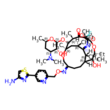 CCC(=O)/N=C1\[C@H](C)C[C@@]2(C)OCC(=NOCc3ccc(-c4nc(N)cs4)cn3)CC[C@H]([C@H]1C)[C@](C)(O)[C@@H](CC)OC(=O)[C@@](C)(F)C(=O)[C@H](C)[C@H]2O[C@@H]1O[C@H](C)C[C@H](N(C)C)[C@H]1O